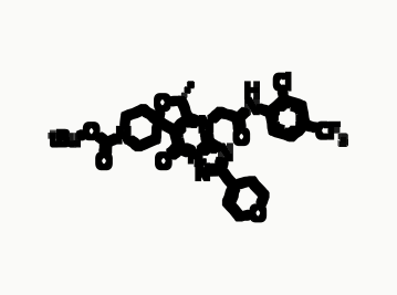 C[C@H]1OC2(CCN(C(=O)OC(C)(C)C)CC2)c2c1n(CC(=O)Nc1ccc(C(F)(F)F)cc1Cl)c1nc(C3=CCOCC3)nn1c2=O